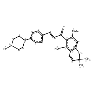 CCN1CCN(c2ccc(/C=C/C(=O)c3c(OC)cc4c(c3O)C=CC(C)(C)O4)cc2)CC1